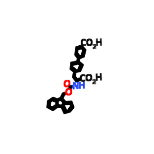 O=C(NC(Cc1ccc(-c2ccc(C(=O)O)cc2)cc1)C(=O)O)OCC1c2ccccc2-c2ccccc21